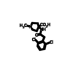 CN1CCC(NC(=O)Cc2c(Cl)cccc2Cl)(C(=O)O)CC1